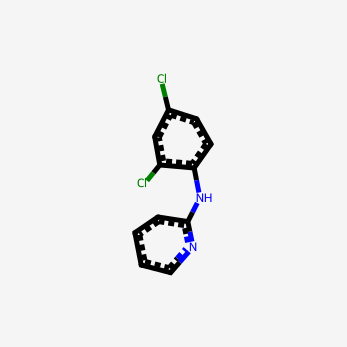 Clc1ccc(Nc2ccccn2)c(Cl)c1